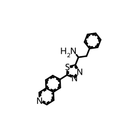 NC(Cc1ccccc1)c1nnc(-c2ccc3cnccc3c2)s1